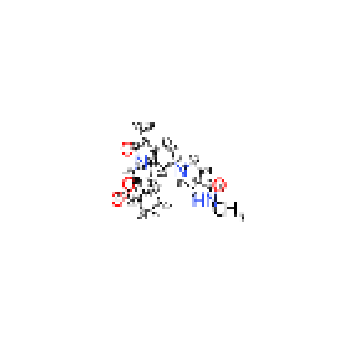 CNC(=O)C1CCN(c2ccc(C3(C(=O)N4CC[C@@]5(C4)OC(=O)c4ccccc45)CC3)cc2)CC1